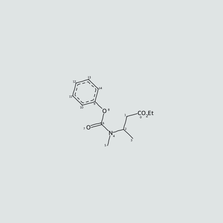 CCOC(=O)CC(C)N(C)C(=O)Oc1ccccc1